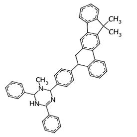 CN1C(c2ccc(C3Cc4cc5c(cc4-c4ccccc43)C(C)(C)c3ccccc3-5)cc2)N=C(c2ccccc2)NC1c1ccccc1